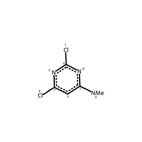 CNc1cc(Cl)nc(Cl)n1